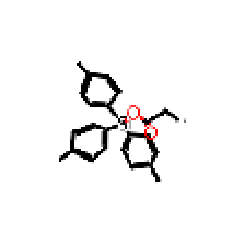 [CH2]CC(=O)O[Si](c1ccc(C)cc1)(c1ccc(C)cc1)c1ccc(C)cc1